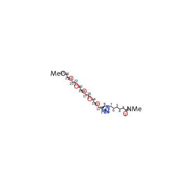 CNC(=O)CCCCCn1cc(COCCOCCOCCOCCOCCOC)nn1